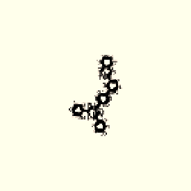 c1ccc(-c2nc(-c3ccccc3)nc(-c3ccc(-c4cccc(-c5cc6ccccc6cn5)c4)cc3)n2)cc1